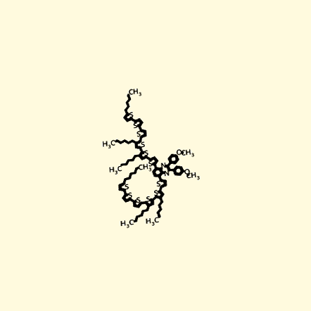 CCCCCCc1ccc(-c2ccc(-c3ccc(-c4sc(-c5sc(-c6ccc(-c7ccc(-c8ccc(-c9cc(CCCCCC)c(-c%10cc(CCCCCC)c(-c%11ccc(-c%12ccc(-c%13ccc(CCCCCC)s%13)s%12)s%11)s%10)s9)s8)c8nc(-c9ccc(OC)cc9)c(-c9ccc(OC)cc9)nc78)s6)cc5CCCCCC)cc4CCCCCC)s3)s2)s1